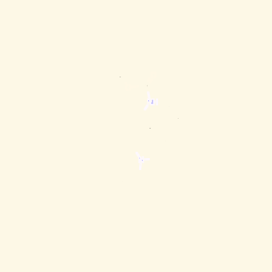 CC(C)(C)OC(=O)NCC1(C2CC2)CCN(Cc2ccccc2)CC1